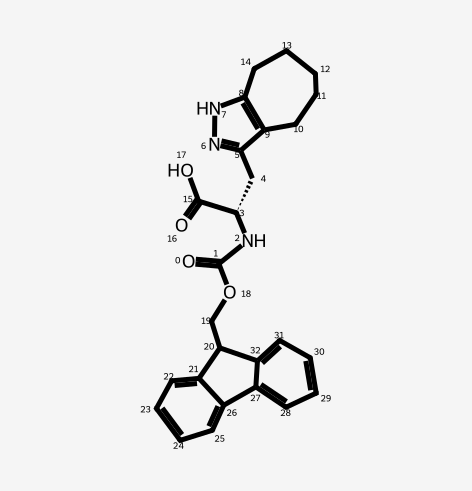 O=C(N[C@@H](Cc1n[nH]c2c1CCCCC2)C(=O)O)OCC1c2ccccc2-c2ccccc21